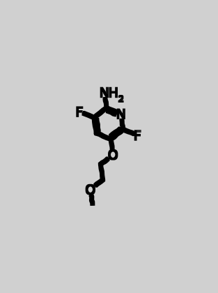 COCCOc1cc(F)c(N)nc1F